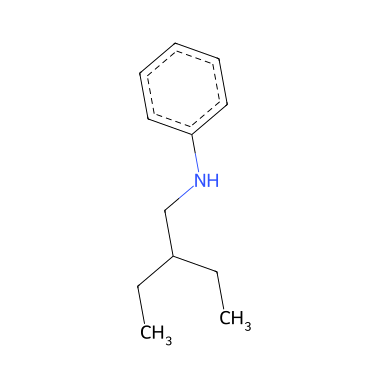 CCC(CC)CNc1ccccc1